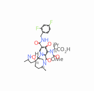 COC(=O)N(c1c2n(cc(C(=O)NCc3ccc(F)cc3F)c1=O)[C@@H]1CN(C2=O)[C@@H](C)CC[C@]12CC(C)=NO2)[C@H](C(=O)O)C(C)C